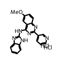 COc1ccc2nc(-c3cccnc3)nc(Nc3nc4ccccc4[nH]3)c2c1.Cl.Cl